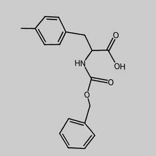 Cc1ccc(CC(NC(=O)OCc2ccccc2)C(=O)O)cc1